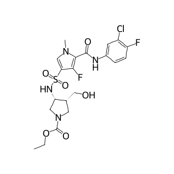 CCOC(=O)N1C[C@@H](CO)[C@@H](NS(=O)(=O)c2cn(C)c(C(=O)Nc3ccc(F)c(Cl)c3)c2F)C1